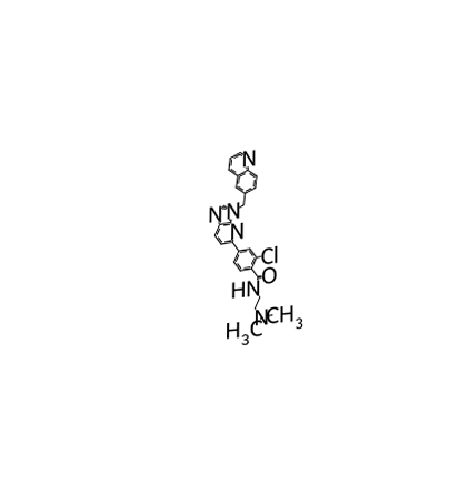 CN(C)CCNC(=O)c1ccc(-c2ccc3ncn(Cc4ccc5ncccc5c4)c3n2)cc1Cl